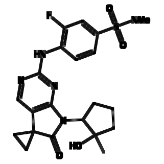 CNS(=O)(=O)c1ccc(Nc2ncc3c(n2)N(C2CCCC2(C)O)C(=O)C32CC2)c(F)c1